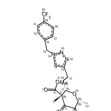 C=C1C(=O)[C@](C)(C(=O)OC)[C@H](CCc2cn(Cc3ccc(C(F)(F)F)cc3)nn2)O[C@@H]1C